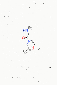 CC(C)NCC(=O)N1CCO[C@@H](C(F)(F)F)C1